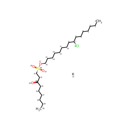 CCCCCCCC(Cl)CCCCCCCCOS(=O)(=O)CCC(=O)CCCCCC.[K]